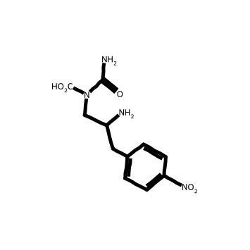 NC(=O)N(CC(N)Cc1ccc([N+](=O)[O-])cc1)C(=O)O